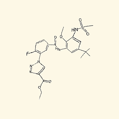 CCOC(=O)c1cn(-c2cc(C(=O)Nc3cc(C(C)(C)C)cc(NS(C)(=O)=O)c3OC)ccc2F)nn1